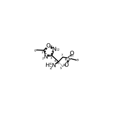 Cc1nc([C@](C)(N)CS(C)(=O)=O)no1